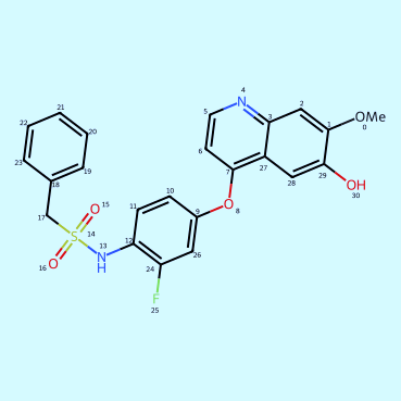 COc1cc2nccc(Oc3ccc(NS(=O)(=O)Cc4ccccc4)c(F)c3)c2cc1O